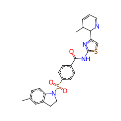 Cc1ccc2c(c1)CCN2S(=O)(=O)c1ccc(C(=O)Nc2nc(C3N=CC=CC3C)cs2)cc1